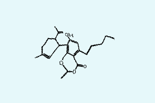 C=C(C)C1CCC(C)=CC1c1c(O)cc(CCCCC)c2c1OC(C)OC2=O